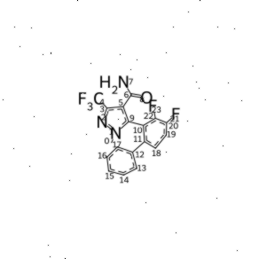 Cn1nc(C(F)(F)F)c(C(N)=O)c1-c1c(-c2ccccc2)ccc(F)c1F